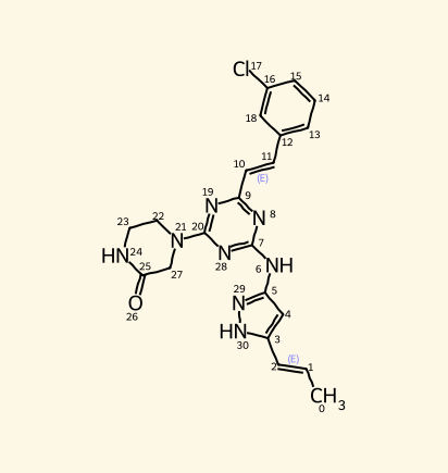 C/C=C/c1cc(Nc2nc(/C=C/c3cccc(Cl)c3)nc(N3CCNC(=O)C3)n2)n[nH]1